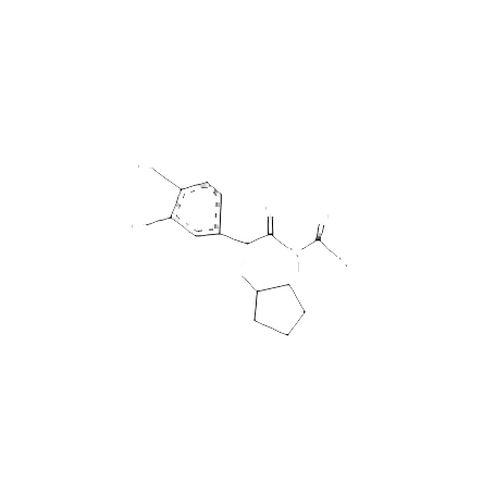 [NH]C(=O)NC(=O)[C@H](CC1CCCC1)c1ccc(Cl)c(Cl)c1